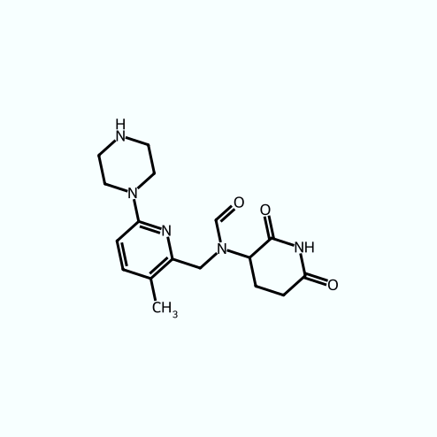 Cc1ccc(N2CCNCC2)nc1CN(C=O)C1CCC(=O)NC1=O